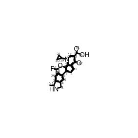 CC1NCc2cc(-c3ccc4c(=O)c(C(=O)O)cn(C5CC5)c4c3OC(F)F)ccc21